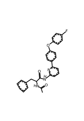 CC(=O)NC(Cc1ccccc1)C(=O)Nc1cccc(-c2ccc(Oc3ccc(F)cc3)cc2)n1